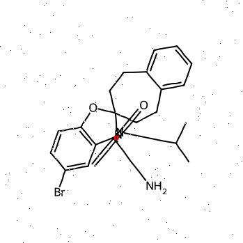 CC(C)N1C(=O)C2(N=C1N)c1cc(Br)ccc1OC21CCc2ccccc2CC1